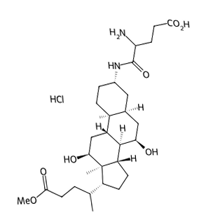 COC(=O)CCC(C)[C@H]1CC[C@H]2[C@@H]3[C@H](O)C[C@@H]4C[C@@H](NC(=O)C(N)CCC(=O)O)CC[C@]4(C)[C@H]3C[C@H](O)[C@]12C.Cl